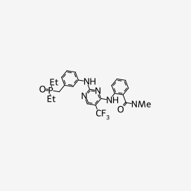 CCP(=O)(CC)Cc1cccc(Nc2ncc(C(F)(F)F)c(Nc3ccccc3C(=O)NC)n2)c1